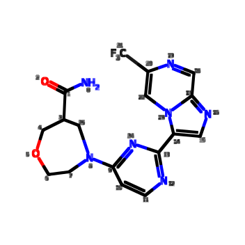 NC(=O)C1COCCN(c2ccnc(-c3cnc4cnc(C(F)(F)F)cn34)n2)C1